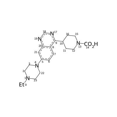 CCN1CCN(c2ccc3c(C4CCN(C(=O)O)CC4)ncnc3c2)CC1